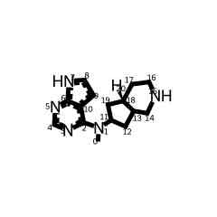 CN(c1ncnc2[nH]ccc12)C1CC2CNCC[C@H]2C1